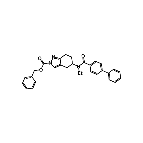 CCN(C(=O)c1ccc(-c2ccccc2)cc1)C1CCc2nn(C(=O)OCc3ccccc3)cc2C1